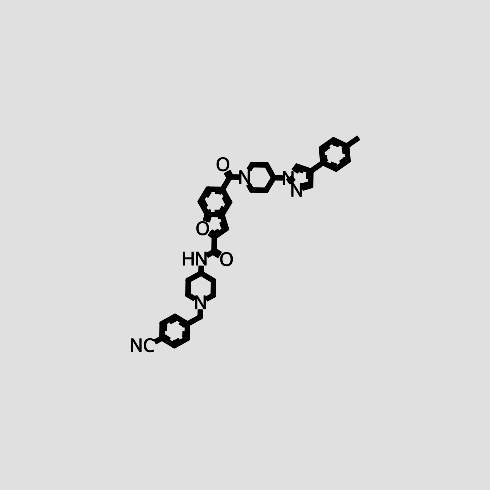 Cc1ccc(-c2cnn(C3CCN(C(=O)c4ccc5oc(C(=O)NC6CCN(Cc7ccc(C#N)cc7)CC6)cc5c4)CC3)c2)cc1